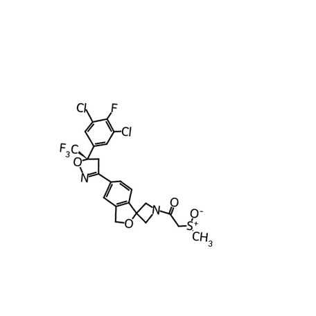 C[S+]([O-])CC(=O)N1CC2(C1)OCc1cc(C3=NO[C@@](c4cc(Cl)c(F)c(Cl)c4)(C(F)(F)F)C3)ccc12